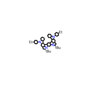 CCc1ccc(-n2c3ccccc3c3c4c5cc6c7c8c9ccccc9n(-c9ccc(CC)cc9)c8cc8cc(C(C)(C)C)n(c6cc5n5c(C(C)(C)C)cc(cc32)c45)c87)cc1